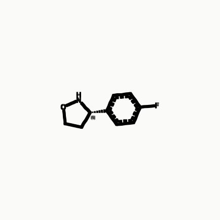 Fc1ccc([C@@H]2CCON2)cc1